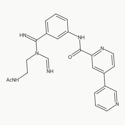 CC(=O)NCCN(C=N)C(=N)c1cccc(NC(=O)c2cc(-c3cccnc3)ccn2)c1